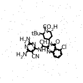 CC(Nc1nc(N)nc(N)c1C#N)c1nc2cccc(Cl)c2c(=O)n1C1CCN(C(=O)O)C(C(C)(C)C)C1